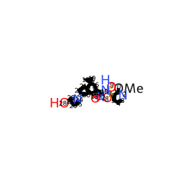 COc1ncccc1S(=O)(=O)Nc1noc2c1CC1(CC1)c1ccc(N3CC[C@@H](O)C3)cc1-2